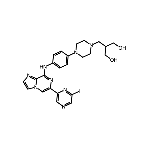 OCC(CO)CN1CCN(c2ccc(Nc3nc(-c4cncc(I)n4)cn4ccnc34)cc2)CC1